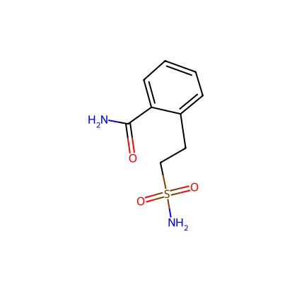 NC(=O)c1ccccc1CCS(N)(=O)=O